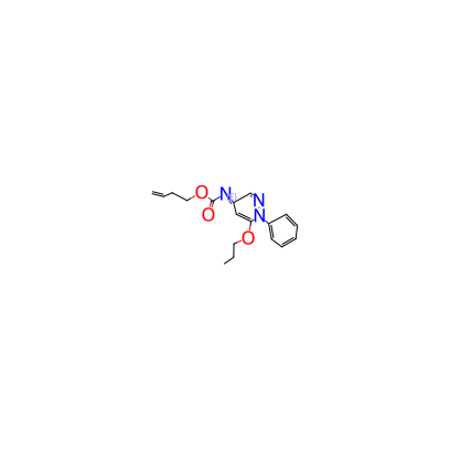 C=CCCOC(=O)/N=c1/cnn(-c2ccccc2)c(OCCC)c1